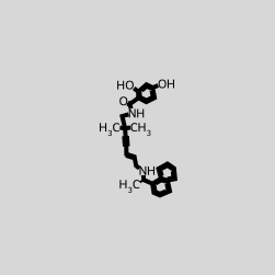 C[C@@H](NC/C=C/C#CC(C)(C)CNC(=O)c1ccc(O)cc1O)c1cccc2ccccc12